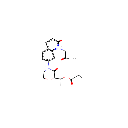 COC(=O)Cn1c(=O)ccc2ccc(N3CCO[C@H]([C@@H](OC(=O)CC(C)(C)C)C(=O)O)C3=O)cc21